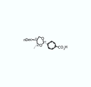 CCCCCCCCCC[C@H]1CO[C@H](c2ccc(C(=O)O)cc2)O[C@@H]1C